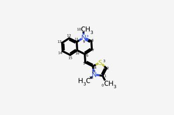 CC1=CS/C(=C\c2cc[n+](C)c3ccccc23)N1C